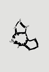 C1=Cc2c3c(ncc2=C1)=NN=N3